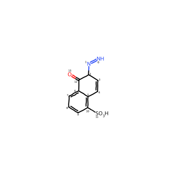 N=NC1C=Cc2c(cccc2S(=O)(=O)O)C1=O